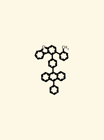 Cc1ccccc1-c1ccc2oc3ccccc3c2c1-c1ccc(-c2c3ccccc3c(-c3ccccc3)c3ccccc23)cc1